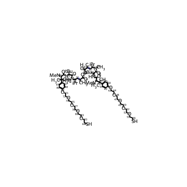 CN[C@H](C(=O)N[C@H](C(=O)N(C)[C@H](/C=C(\C)C(=O)OOC(=O)/C(C)=C/[C@H](C(C)C)N(C)C(=O)[C@@H](NC(=O)[C@@H](NC)C(C)(C)c1ccc(OCCOCCOCCOCCOCCS)cc1)C(C)(C)C)C(C)C)C(C)(C)C)C(C)(C)c1ccc(OCCOCCOCCOCCOCCS)cc1